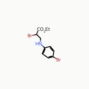 CCOC(=O)C(Br)CNc1ccc(Br)cc1